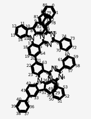 c1ccc(-c2ccc3c(c2)c2ccccc2n3-c2ccc(-c3ccc(-n4c5ccccc5c5cc(-c6ccccc6)ccc54)c(-c4nc(-c5ccccc5)nc(-c5ccccc5)n4)c3)cc2-c2nc(-c3ccccc3)nc(-c3ccccc3)n2)cc1